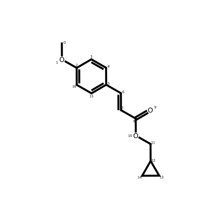 COc1ccc(C=CC(=O)OCC2CC2)cc1